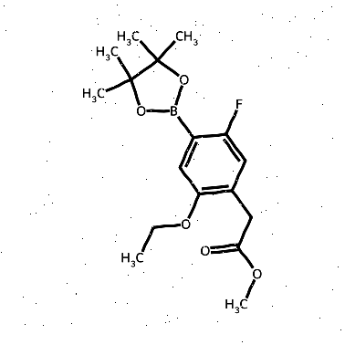 CCOc1cc(B2OC(C)(C)C(C)(C)O2)c(F)cc1CC(=O)OC